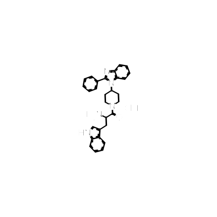 Cl.NC(Cc1c[nH]c2ccccc12)C(=O)N1CCC(n2c(-c3ccccc3)nc3ccccc32)CC1